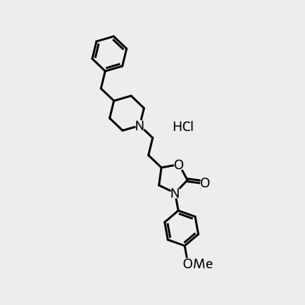 COc1ccc(N2CC(CCN3CCC(Cc4ccccc4)CC3)OC2=O)cc1.Cl